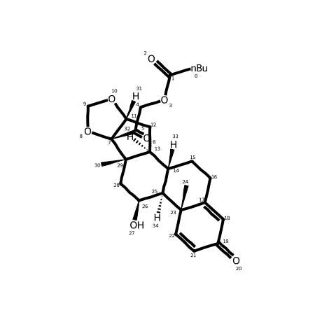 CCCCC(=O)OCC(=O)[C@@]12OCO[C@@H]1C[C@H]1[C@@H]3CCC4=CC(=O)C=C[C@]4(C)[C@H]3[C@@H](O)C[C@@]12C